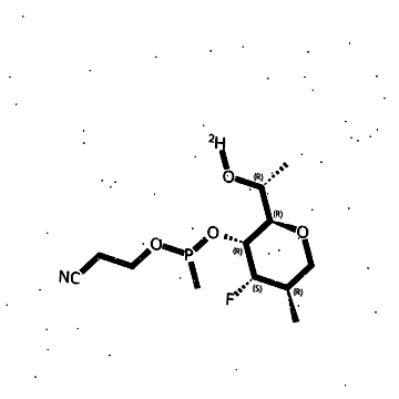 [2H]O[C@H](C)[C@H]1OC[C@@H](C)[C@H](F)[C@@H]1OP(C)OCCC#N